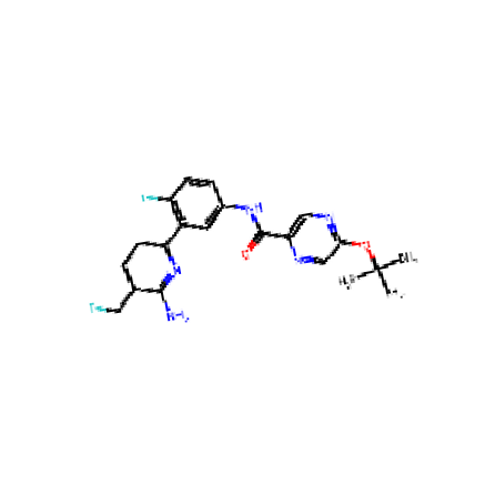 BC(B)(B)Oc1cnc(C(=O)Nc2ccc(F)c(C3CCC(CF)C(N)=N3)c2)cn1